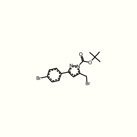 CC(C)(C)OC(=O)n1nc(-c2ccc(Br)cc2)cc1CBr